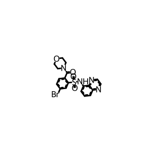 O=C(c1ccc(Br)cc1S(=O)(=O)Nc1cccc2nccnc12)N1CCOCC1